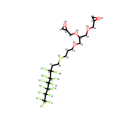 FC(F)(F)C(F)(F)C(F)(F)C(F)(F)C(F)(F)C(F)(F)CCSCCCOCC(COCC1CO1)OCC1CO1